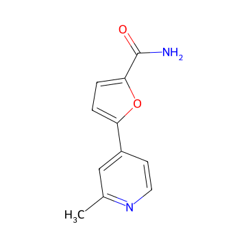 Cc1cc(-c2ccc(C(N)=O)o2)ccn1